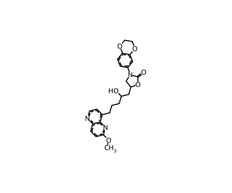 COc1ccc2nccc(CCCC(O)CC3CN(c4ccc5c(c4)OCCO5)C(=O)O3)c2n1